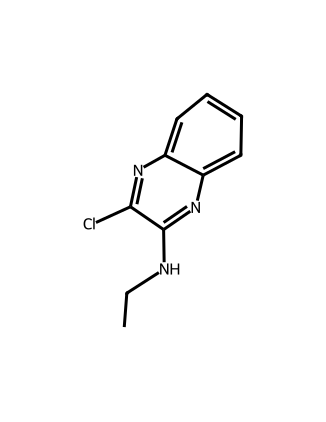 CCNc1nc2ccccc2nc1Cl